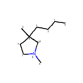 CCCCC1(C)CCN(C)C1